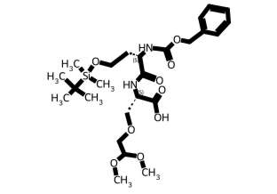 COC(COC[C@H](NC(=O)[C@H](CCO[Si](C)(C)C(C)(C)C)NC(=O)OCc1ccccc1)C(=O)O)OC